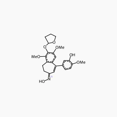 COc1ccc(C2=C/C(=N/O)CCc3c2cc(OC)c(OC2CCCO2)c3OC)cc1O